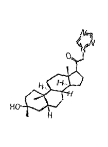 C[C@@]1(O)CC[C@@]2(C)[C@H](CC[C@@H]3[C@@H]2CC[C@]2(C)[C@@H](C(=O)Cn4cncn4)CC[C@@H]32)C1